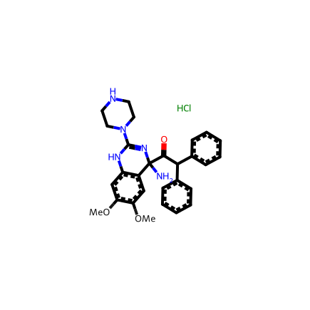 COc1cc2c(cc1OC)C(N)(C(=O)C(c1ccccc1)c1ccccc1)N=C(N1CCNCC1)N2.Cl